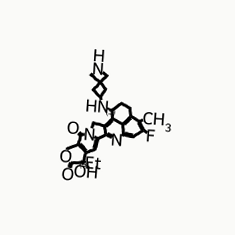 CC[C@@]1(O)C(=O)OCc2c1cc1n(c2=O)Cc2c-1nc1cc(F)c(C)c3c1c2[C@@H](NC1CC2(CNC2)C1)CC3